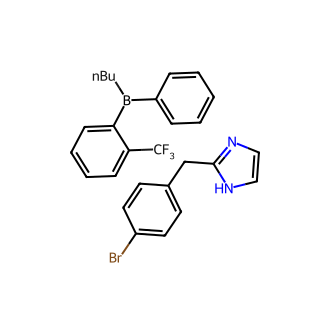 Brc1ccc(Cc2ncc[nH]2)cc1.CCCCB(c1ccccc1)c1ccccc1C(F)(F)F